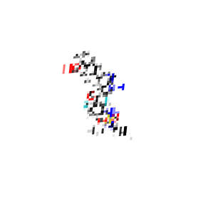 CCN(C)S(=O)(=O)Nc1ccc(F)c(C(=O)c2c[nH]c3ncc(-c4ccc(C5(O)CC5)cc4)cc23)c1F